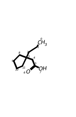 CCCC1(CC(=O)O)CCCC1